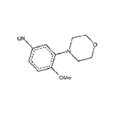 COc1ccc(N=O)cc1N1CCOCC1